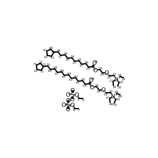 CCOS(=O)(=O)[O-].CCOS(=O)(=O)[O-].CC[N+](CC)(CC)CCOCCOC(=O)CCCCCCCCCCC1CCCC1.CC[N+](CC)(CC)CCOCCOC(=O)CCCCCCCCCCCCC1CCCC1